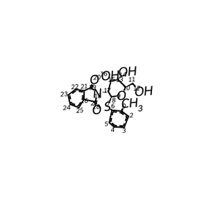 Cc1ccccc1S[C@@H]1O[C@H](CO)[C@@H](O)[C@H](O)[C@H]1N1C(=O)c2ccccc2C1=O